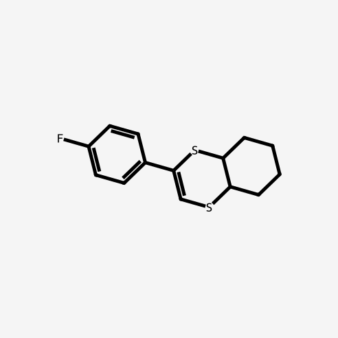 Fc1ccc(C2=CSC3CCCCC3S2)cc1